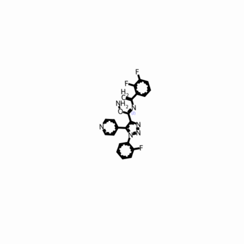 C=C(/N=C(\ON)c1nnn(-c2ccccc2F)c1-c1ccncc1)c1cccc(F)c1F